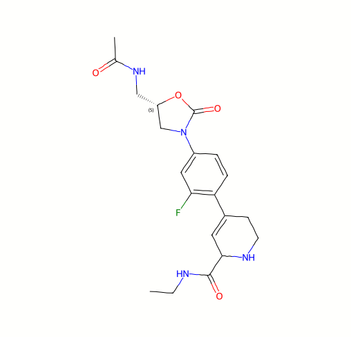 CCNC(=O)C1C=C(c2ccc(N3C[C@H](CNC(C)=O)OC3=O)cc2F)CCN1